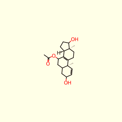 CC(=O)OC1CC2CC(O)C=C[C@]2(C)C2=C1[C@@H]1CCC(O)[C@@]1(C)CC2